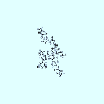 CC1(NC(=O)O[C@H]2CO[C@@H](c3cc(Nc4nc(-c5cc(F)cc(F)c5)cc5nccn45)[n+](-c4cnc(Nc5cc([C@@H]6CC[C@H](OC(=O)NC7(C)CC7)[C@@H]6F)[nH]n5)c5cc(CC(F)(F)F)nn45)[nH]3)[C@@H]2F)CC1